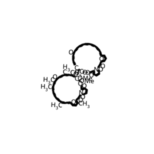 COC1(OC)CC(=O)C(C)/C=C(C)\C=C/C(=O)\C(C)=C/C(C)=C\C=C/C=C\C(C)=C/C=C2\C=CC(C)=C(O2)C(=O)C(=O)N2CC=CC=C2C(=O)O1.O=C1/C=C\C=CCC(=O)CCOC(=O)C2=CC=CCN2C(=O)C(=O)C2=CC=CC(=C\C=C/C=C\C=C/C=C\C=C/1)O2